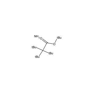 CC(C)(C)OC(=O)C(C(C)(C)C)(C(C)(C)C)C(C)(C)C.N